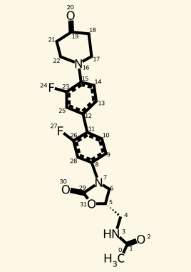 CC(=O)NC[C@H]1CN(c2ccc(-c3ccc(N4CCC(=O)CC4)c(F)c3)c(F)c2)C(=O)O1